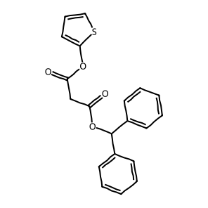 O=C(CC(=O)OC(c1ccccc1)c1ccccc1)Oc1cccs1